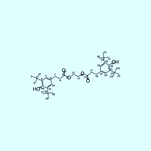 CC(C)(C)c1cc(CCC(=O)OCCOC(=O)CCc2cc(C(C)(C)C)c(O)c(C(C)(C)C)c2)cc(C(C)(C)C)c1O